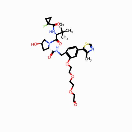 Cc1ncsc1-c1ccc(CNC(=O)[C@@H]2C[C@@H](O)CN2C(=O)[C@@H](NC(=O)C2(F)CC2)C(C)(C)C)c(OCCOCCOCC=O)c1